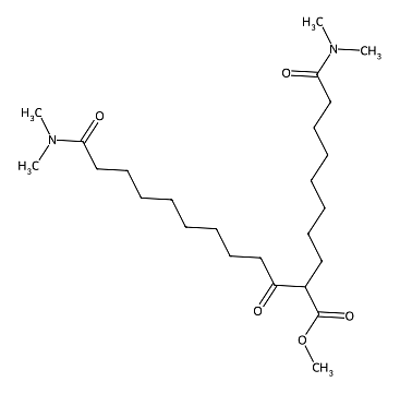 COC(=O)C(CCCCCCCC(=O)N(C)C)C(=O)CCCCCCCCC(=O)N(C)C